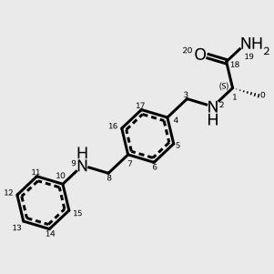 C[C@H](NCc1ccc(CNc2ccccc2)cc1)C(N)=O